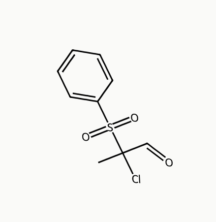 CC(Cl)(C=O)S(=O)(=O)c1ccccc1